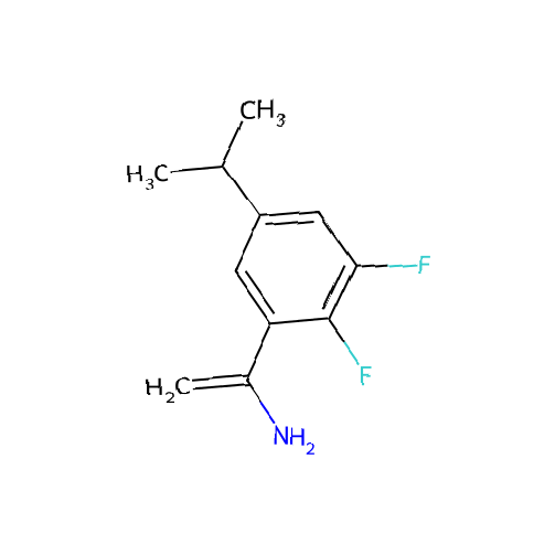 C=C(N)c1cc(C(C)C)cc(F)c1F